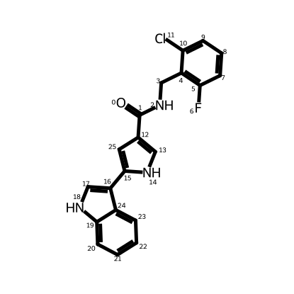 O=C(NCc1c(F)cccc1Cl)c1c[nH]c(-c2c[nH]c3ccccc23)c1